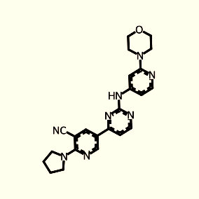 N#Cc1cc(-c2ccnc(Nc3ccnc(N4CCOCC4)c3)n2)cnc1N1CCCC1